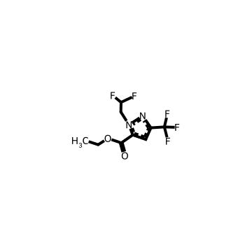 CCOC(=O)c1cc(C(F)(F)F)nn1CC(F)F